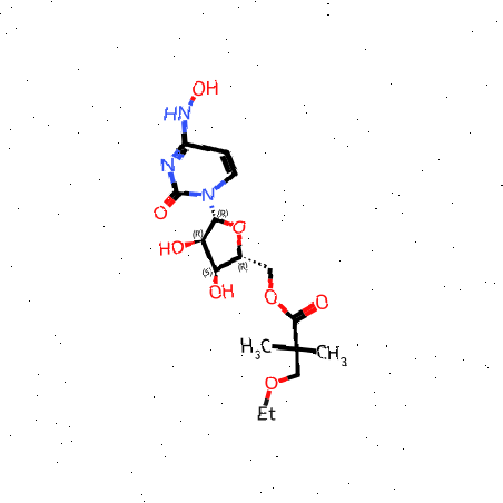 CCOCC(C)(C)C(=O)OC[C@H]1O[C@@H](n2ccc(NO)nc2=O)[C@H](O)[C@@H]1O